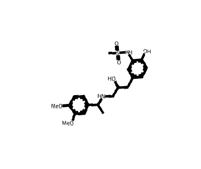 COc1ccc(C(C)NCC(O)Cc2ccc(O)c(NS(C)(=O)=O)c2)cc1OC